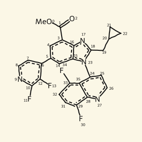 COC(=O)c1cc(-c2ccnc(F)c2F)cc2c1nc(CC1CC1)n2-c1ccnc2c(F)ccc(F)c12